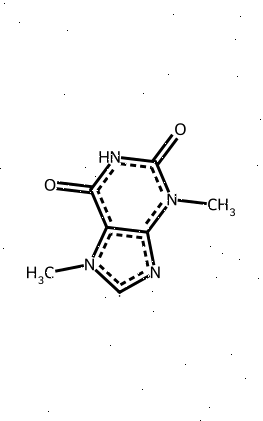 Cn1[c]nc2c1c(=O)[nH]c(=O)n2C